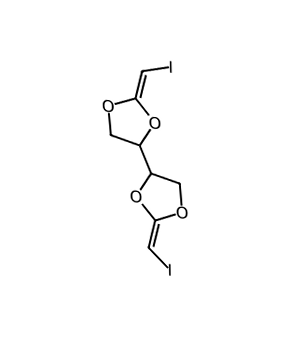 I/C=C1/OCC(C2CO/C(=C\I)O2)O1